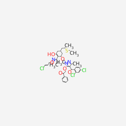 CCSC(C)CC1CC(=O)C(/C(CC)=N/OC/C=C/Cl)=C(O)C1.Cc1nn(C)c(OCC(=O)c2ccccc2)c1C(=O)c1ccc(Cl)cc1Cl